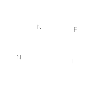 FC(F)c1[c]nccn1